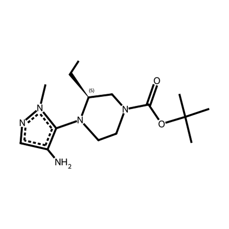 CC[C@H]1CN(C(=O)OC(C)(C)C)CCN1c1c(N)cnn1C